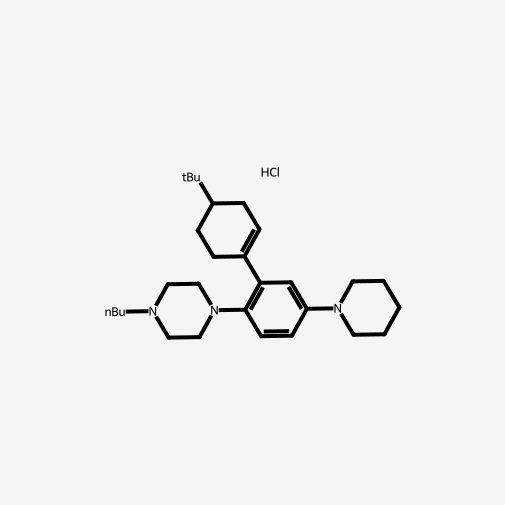 CCCCN1CCN(c2ccc(N3CCCCC3)cc2C2=CCC(C(C)(C)C)CC2)CC1.Cl